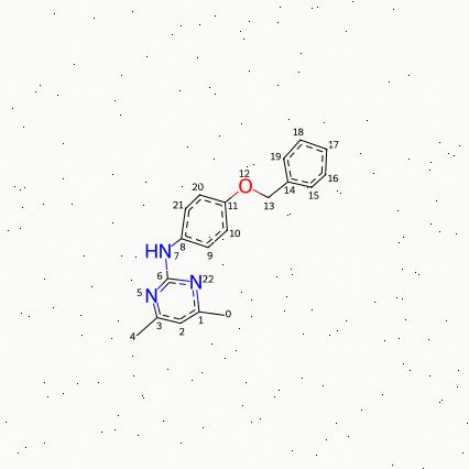 Cc1cc(C)nc(Nc2ccc(OCc3ccccc3)cc2)n1